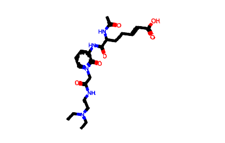 CCN(CC)CCNC(=O)Cn1cccc(NC(=O)C(CCC=CC(=O)O)NC(C)=O)c1=O